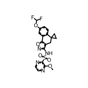 COc1nccnc1S(=O)(=O)Nc1noc2c1CC1(CC1)c1ccc(OC(F)F)cc1-2